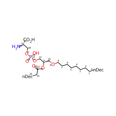 CCCCCCCCCCCCCCCCCCOC[C@H](COP(=O)(O)OC[C@H](N)C(=O)O)OC(=O)CCCCCCCCCCC